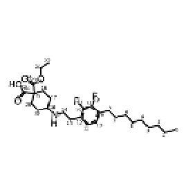 CCCCCCCCCc1ccc(CCNC2CCC(C(=O)O)(C(=O)OCC)CC2)c(F)c1F